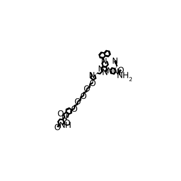 CN1C[C@H](OCCOCCOCCOCCOc2ccc3c(c2)CN(C2CCC(=O)NC2=O)C3=O)C[C@H]1CCc1nc2c(c(N3CCN(C(N)=O)[C@@H](CC#N)C3)n1)CCN(c1cccc3ccccc13)C2